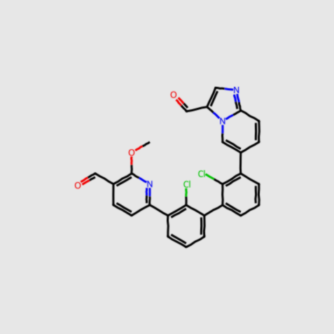 COc1nc(-c2cccc(-c3cccc(-c4ccc5ncc(C=O)n5c4)c3Cl)c2Cl)ccc1C=O